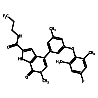 Cc1cc(Oc2c(C)cc(F)cc2C)cc(-c2cn(C)c(=O)c3[nH]c(C(=O)NCCC(F)(F)F)cc23)c1